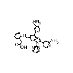 NCc1cccc(-c2cc(COc3ccccc3CC(=O)O)cc3c2cc(-c2ccnc(N)c2)n3-c2ncccn2)c1